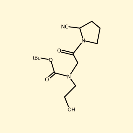 CC(C)(C)OC(=O)N(CCO)CC(=O)N1CCCC1C#N